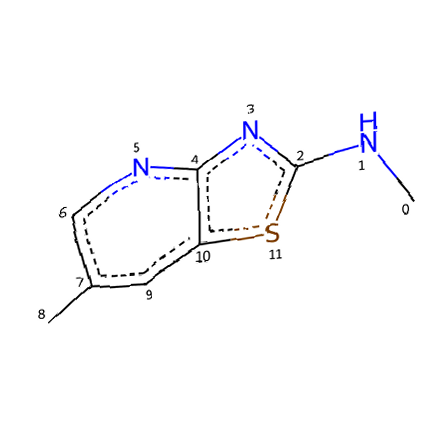 CNc1nc2ncc(C)cc2s1